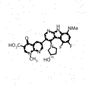 CNc1cc(F)c(F)c2c1[nH]c1ncc(-c3cnc4c(c3)c(=O)c(C(=O)O)cn4C)c(N3CC[C@H](O)C3)c12